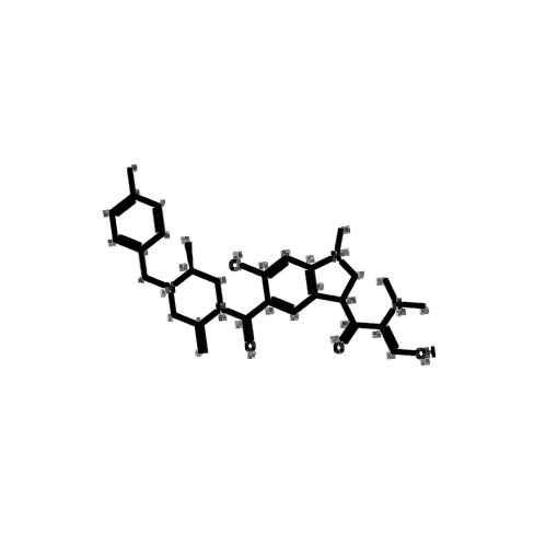 C=C1CN(Cc2ccc(C)cc2)[C@@H](C)CN1C(=O)c1cc2c(cc1Cl)N(C)CC2C(=O)/C(=C/O)N(C)C